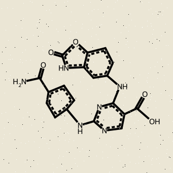 NC(=O)c1ccc(Nc2ncc(C(=O)O)c(Nc3ccc4oc(=O)[nH]c4c3)n2)cc1